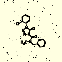 CN(Cc1ccccc1)C(=O)n1nnn(-c2ccccc2Cl)c1=O